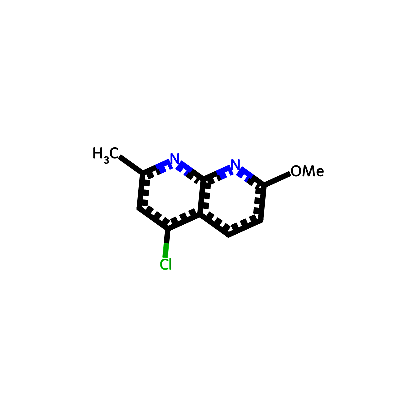 COc1ccc2c(Cl)cc(C)nc2n1